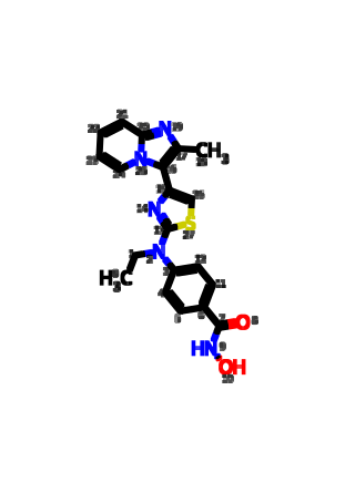 CCN(c1ccc(C(=O)NO)cc1)c1nc(-c2c(C)nc3ccccn23)cs1